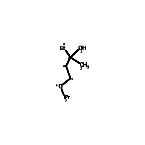 CCC(C)(O)CCOC(C)C